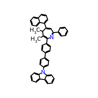 CC1=C(c2ccc(-c3ccc(-n4c5ccccc5c5ccccc54)cc3)cc2)N=C(c2ccccc2)C=C(c2cccc3ccccc23)C1C